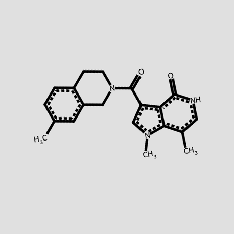 Cc1ccc2c(c1)CN(C(=O)c1cn(C)c3c(C)c[nH]c(=O)c13)CC2